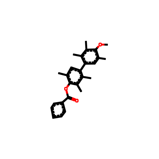 COc1c(C)cc(-c2cc(C)c(OC(=O)c3ccccc3)c(C)c2C)c(C)c1C